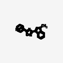 Cn1cc(-c2noc(C3NC4CCC3CC4)n2)c2ccccc21